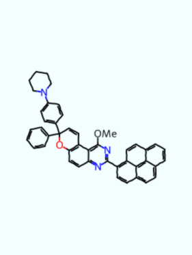 COc1nc(-c2ccc3ccc4cccc5ccc2c3c45)nc2ccc3c(c12)C=CC(c1ccccc1)(c1ccc(N2CCCCC2)cc1)O3